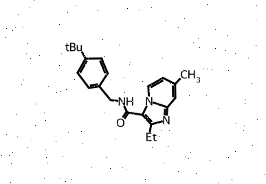 CCc1nc2cc(C)ccn2c1C(=O)NCc1ccc(C(C)(C)C)cc1